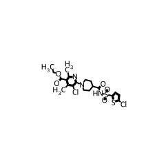 CCOC(=O)c1c(C)nc(N2CCC(C(=O)NS(=O)(=O)c3ccc(Cl)s3)CC2)c(Cl)c1C